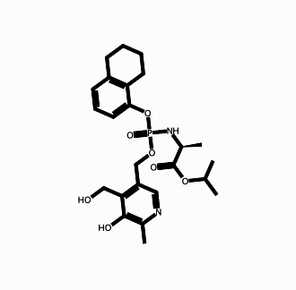 Cc1ncc(COP(=O)(N[C@@H](C)C(=O)OC(C)C)Oc2cccc3c2CCCC3)c(CO)c1O